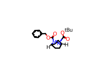 CC(C)(C)OC(=O)N1CC[C@@H]2CC[C@H]1CN2C(=O)OCc1ccccc1